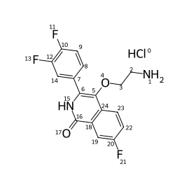 Cl.NCCOc1c(-c2ccc(F)c(F)c2)[nH]c(=O)c2cc(F)ccc12